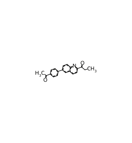 CCC(=O)c1ccc2cc(-c3ccc(C(C)=O)cc3)ccc2n1